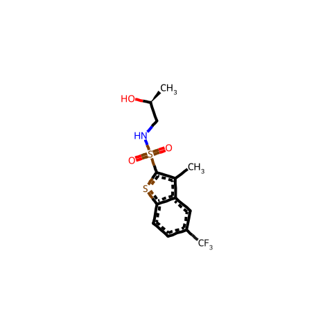 Cc1c(S(=O)(=O)NC[C@H](C)O)sc2ccc(C(F)(F)F)cc12